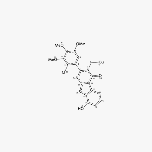 CCC(C)Cn1c(-c2cc(OC)c(OC)c(OC)c2Cl)nc2sc3c(O)cccc3c2c1=O